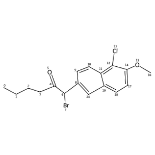 CCCCC(=O)C(Br)c1ccc2c(Cl)c(OC)ccc2c1